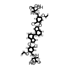 CCOc1cc(O[C@H]2CCc3c(-c4cccc5c4CC[C@H]5Oc4cc(OCC)c(CNC(C)(CO)C(=O)O)cc4Cl)cccc32)c(Cl)cc1CNC(C)(CO)C(=O)O